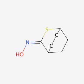 ON=C1SC2CCC1CC2